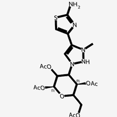 CC(=O)OCC1O[C@@H](OC(C)=O)C(OC(C)=O)C(N2C=C(c3csc(N)n3)N(C)N2)[C@H]1OC(C)=O